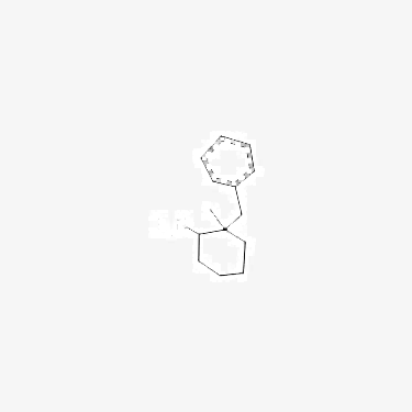 CC1(Cc2ccccc2)CCCCC1N